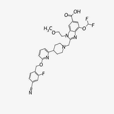 COCCn1c(CN2CCC(c3cccc(OCc4ccc(C#N)cc4F)n3)CC2)nc2c(OC(F)F)cc(C(=O)O)cc21